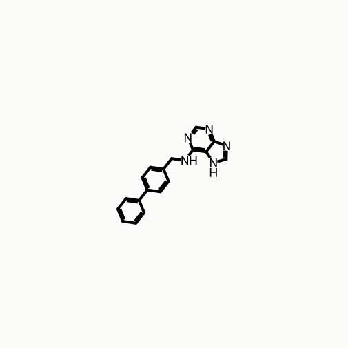 c1ccc(-c2ccc(CNc3ncnc4nc[nH]c34)cc2)cc1